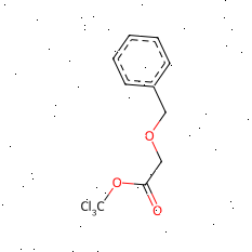 O=C(COCc1ccccc1)OC(Cl)(Cl)Cl